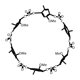 COc1cc2c(C)cc1CS(=O)(=O)Cc1cc(OC)c(cc1C)CS(=O)(=O)Cc1cc(C)c(cc1C)CS(=O)(=O)Cc1cc(C)c(cc1OC)CS(=O)(=O)Cc1cc(C)c(cc1OC)CS(=O)(=O)Cc1cc(C)c(cc1OC)CS(=O)(=O)C2